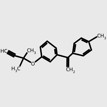 C#CC(C)(C)Oc1cccc(C(=C)c2ccc(C)cc2)c1